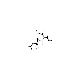 CCC(=O)C(NC(=O)C(CC(C)C)=NO)C(=O)OC